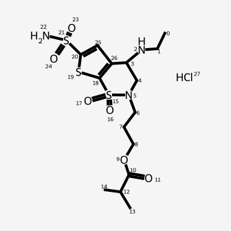 CCNC1CN(CCCOC(=O)C(C)C)S(=O)(=O)c2sc(S(N)(=O)=O)cc21.Cl